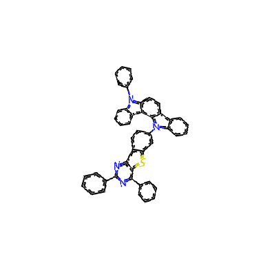 c1ccc(-c2nc(-c3ccccc3)c3sc4cc(-n5c6ccccc6c6ccc7c(c8ccccc8n7-c7ccccc7)c65)ccc4c3n2)cc1